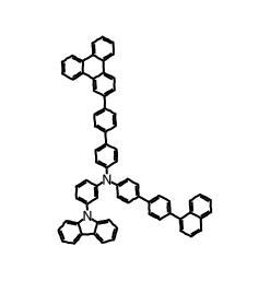 c1cc(N(c2ccc(-c3ccc(-c4ccc5c6ccccc6c6ccccc6c5c4)cc3)cc2)c2ccc(-c3ccc(-c4cccc5ccccc45)cc3)cc2)cc(-n2c3ccccc3c3ccccc32)c1